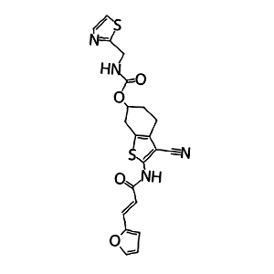 N#Cc1c(NC(=O)C=Cc2ccco2)sc2c1CCC(OC(=O)NCc1nccs1)C2